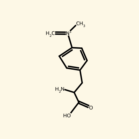 C=[N+](C)c1ccc(CC(N)C(=O)O)cc1